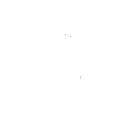 CCC(CNC)Cc1ccc(F)cc1F